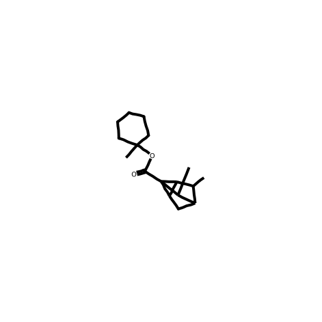 CC1C2CC3C1C3(C(=O)OC1(C)CCCCC1)C2C